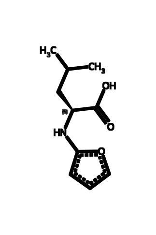 CC(C)C[C@H](Nc1ccco1)C(=O)O